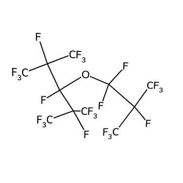 FC(F)(F)C(F)(C(F)(F)F)C(F)(F)OC(F)(C(F)(C(F)(F)F)C(F)(F)F)C(F)(C(F)(F)F)C(F)(F)F